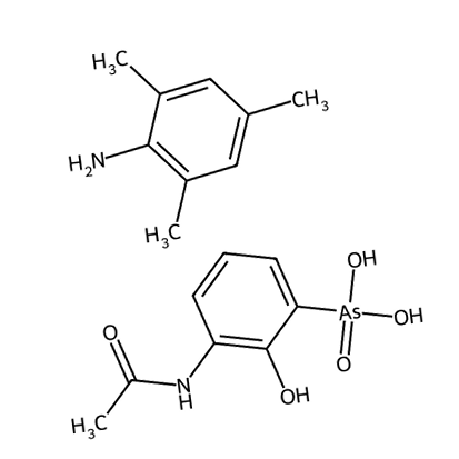 CC(=O)Nc1cccc([As](=O)(O)O)c1O.Cc1cc(C)c(N)c(C)c1